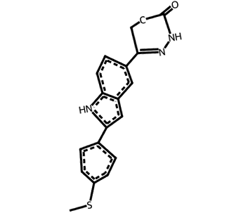 CSc1ccc(-c2cc3cc(C4=NNC(=O)CC4)ccc3[nH]2)cc1